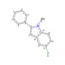 CC(C)n1c(-c2ccccc2)cc2cc(F)ccc21